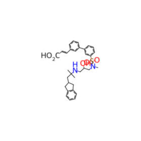 CN(CC(O)CNC(C)(C)CC1Cc2ccccc2C1)S(=O)(=O)c1cccc(-c2cccc(C=CC(=O)O)c2)c1